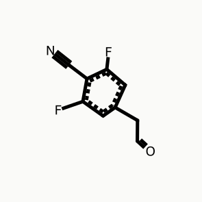 N#Cc1c(F)cc(CC=O)cc1F